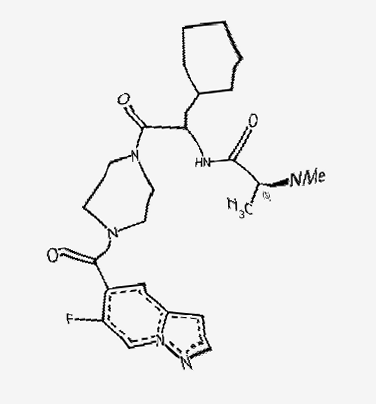 CN[C@@H](C)C(=O)NC(C(=O)N1CCN(C(=O)c2cc3ccnn3cc2F)CC1)C1CCCCC1